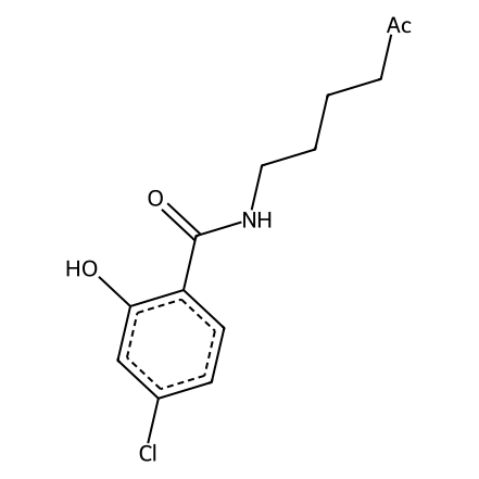 CC(=O)CCCCNC(=O)c1ccc(Cl)cc1O